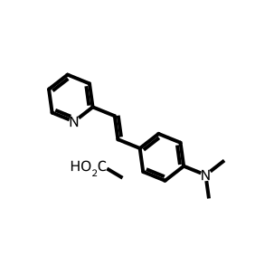 CC(=O)O.CN(C)c1ccc(C=Cc2ccccn2)cc1